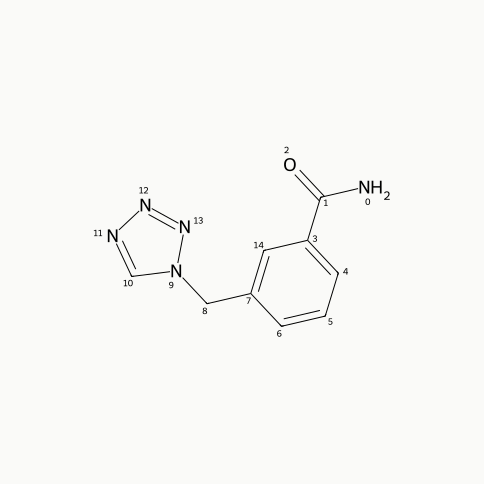 NC(=O)c1cccc(Cn2cnnn2)c1